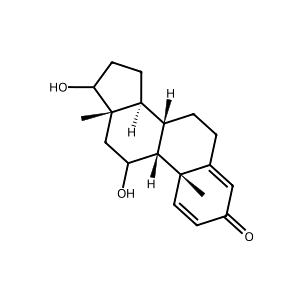 C[C@]12C=CC(=O)C=C1CC[C@@H]1[C@H]2C(O)C[C@]2(C)C(O)CC[C@@H]12